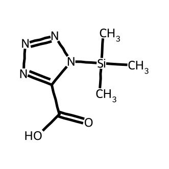 C[Si](C)(C)n1nnnc1C(=O)O